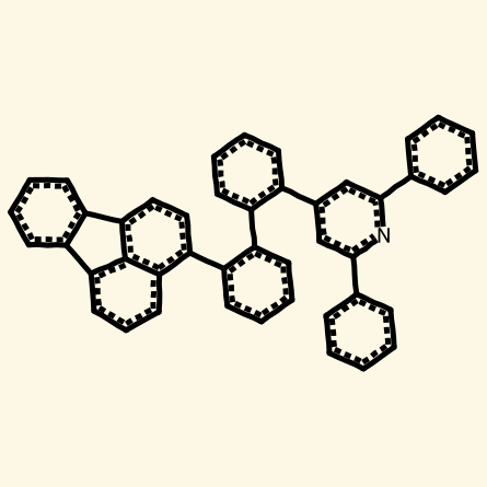 c1ccc(-c2cc(-c3ccccc3-c3ccccc3-c3ccc4c5c(cccc35)-c3ccccc3-4)cc(-c3ccccc3)n2)cc1